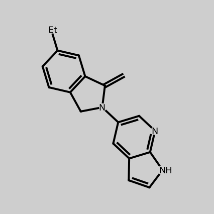 C=C1c2cc(CC)ccc2CN1c1cnc2[nH]ccc2c1